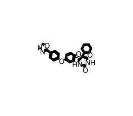 O=C1NC(=O)C(Oc2ccc(Oc3ccc(-c4nnco4)cc3)cc2)(C2CCCCC2)C(=O)N1